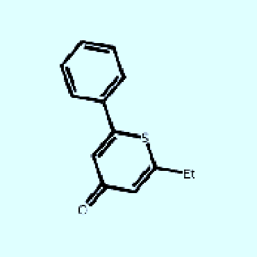 CCc1cc(=O)cc(-c2ccccc2)s1